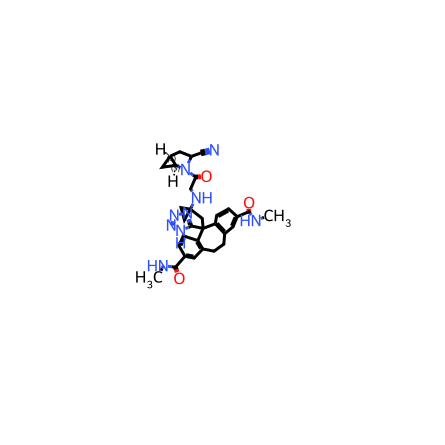 CNC(=O)c1ccc2c(c1)CCc1cc(C(=O)NC)ccc1C2(CC1(NCC(=O)N2C(C#N)C[C@@H]3C[C@@H]32)CC1)c1nnn[nH]1